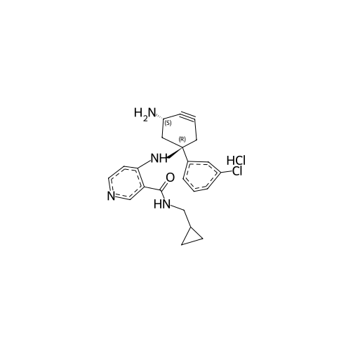 Cl.N[C@@H]1C#CC[C@](CNc2ccncc2C(=O)NCC2CC2)(c2cccc(Cl)c2)C1